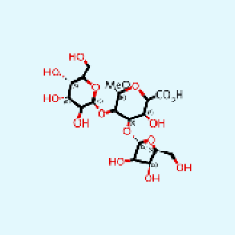 CO[C@@H]1OC(C(=O)O)[C@@H](O)[C@@H](O[C@@H]2O[C@@H](CO)[C@@H](O)C2O)C1O[C@@H]1OC(CO)[C@@H](O)[C@@H](O)C1O